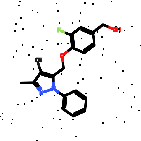 Cc1nn(-c2ccccc2)c(COc2ccc(CO)cc2F)c1C#N